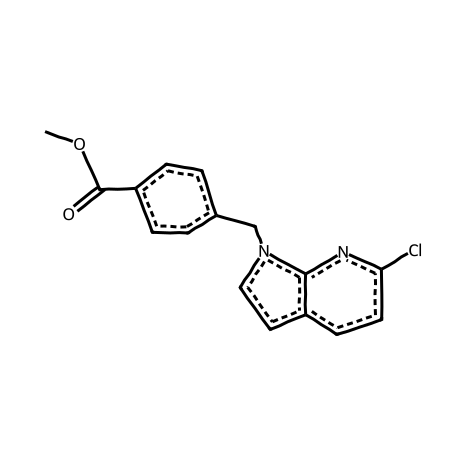 COC(=O)c1ccc(Cn2ccc3ccc(Cl)nc32)cc1